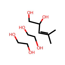 CC(C)=CC(O)CO.OCCO.OCCO